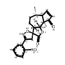 C[C@H]1CC[C@@H]2[C@@H](OC(=O)C23CC(c2ccccc2[N+](=O)[O-])=NO3)[C@]2(C)C(=O)C=CC12